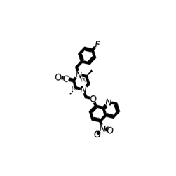 C[C@@H]1C(=C=O)N(Cc2ccc(F)cc2)[C@@H](C)CN1COc1ccc([N+](=O)[O-])c2cccnc12